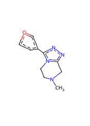 CN1CCn2c(nnc2-c2ccoc2)C1